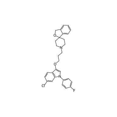 Fc1ccc(-n2cc(OCCCN3CCC4(CC3)OCc3ccccc34)c3ccc(Cl)cc32)cc1